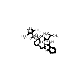 COC(=O)[C@@H](Nc1nc(CN2CCN(S(=O)(=O)c3c(C)noc3C)CC2)nc2ccccc12)C(C)C